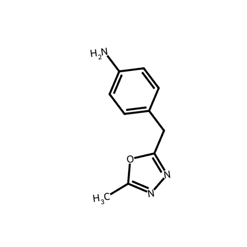 Cc1nnc(Cc2ccc(N)cc2)o1